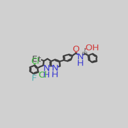 CCC1CC2=C(NCC(c3ccc(C(=O)N[C@H](CO)c4ccccc4)cc3)=C2)NC1c1c(Cl)ccc(F)c1Cl